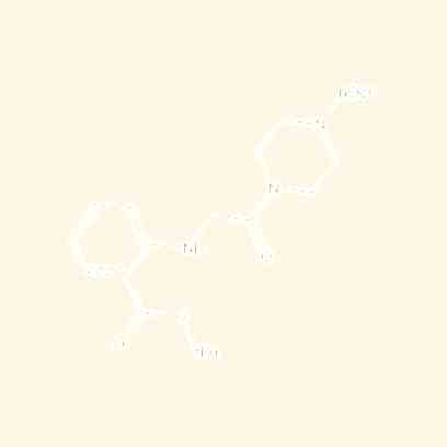 CCCCCCCCN1CCN(C(=O)CNc2ccccc2C(=O)OC(C)(C)C)CC1